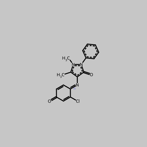 Cc1c(/N=C2\C=CC(=O)C=C2Cl)c(=O)n(-c2ccccc2)n1C